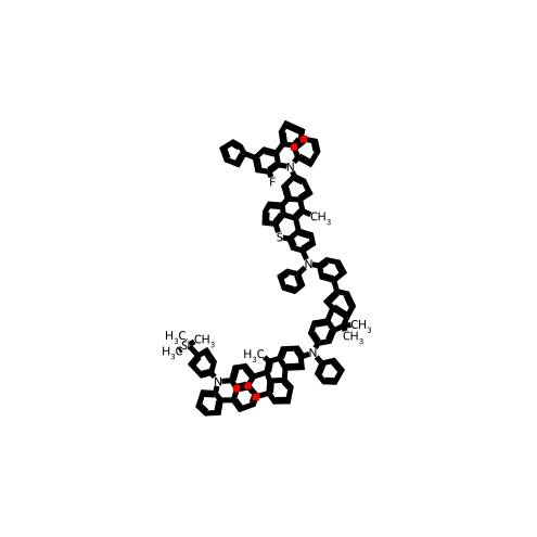 Cc1c2c3c(cccc3c3cc(N(c4ccccc4)c4ccc5c(c4)C(C)(C)c4ccc(-c6cccc(N(c7ccccc7)c7ccc8c(c7)Sc7cccc9c7c-8c(C)c7ccc(N(c8ccccc8)c8c(F)cc(-c%10ccccc%10)cc8-c8ccccc8)cc79)c6)cc4-5)ccc13)Sc1cc(N(c3ccc([Si](C)(C)C)cc3)c3ccccc3-c3ccccc3)ccc1-2